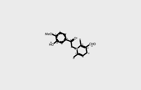 COc1ccc(C(=O)CN2C(C)=CCC(C=O)=C2C)cc1O